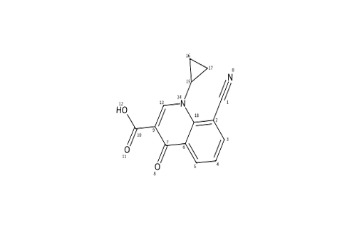 N#Cc1cccc2c(=O)c(C(=O)O)cn(C3CC3)c12